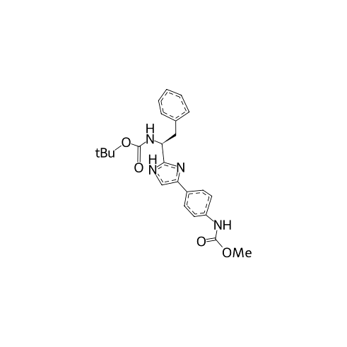 COC(=O)Nc1ccc(-c2c[nH]c([C@H](Cc3ccccc3)NC(=O)OC(C)(C)C)n2)cc1